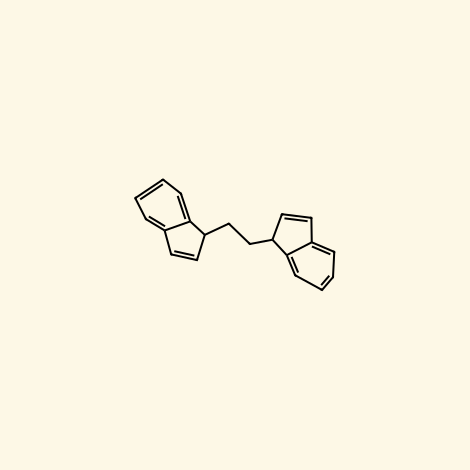 C1=CC(CCC2C=Cc3ccccc32)c2ccccc21